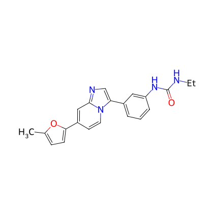 CCNC(=O)Nc1cccc(-c2cnc3cc(-c4ccc(C)o4)ccn23)c1